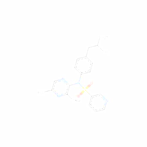 COc1nc(C)cnc1N(c1ccc(CC(C)C(=O)O)cc1)S(=O)(=O)c1cccnc1